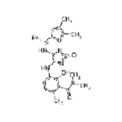 Cc1cc([C@H](Nc2n[s+]([O-])nc2Nc2ccc(C(F)(F)F)c(C(=O)N(C)C)c2O)C(C)C)oc1C